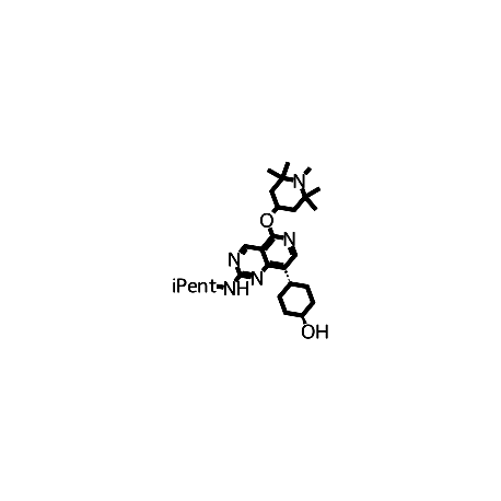 CCCC(C)Nc1ncc2c(OC3CC(C)(C)N(C)C(C)(C)C3)ncc([C@H]3CC[C@H](O)CC3)c2n1